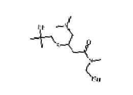 CCC(C)(C)CSC(CC(=O)N(C)CC(C)(C)C)CN(C)C